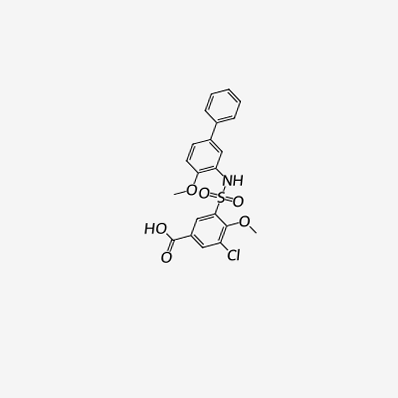 COc1ccc(-c2ccccc2)cc1NS(=O)(=O)c1cc(C(=O)O)cc(Cl)c1OC